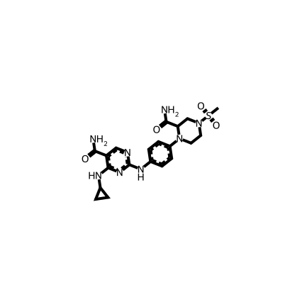 CS(=O)(=O)N1CCN(c2ccc(Nc3ncc(C(N)=O)c(NC4CC4)n3)cc2)C(C(N)=O)C1